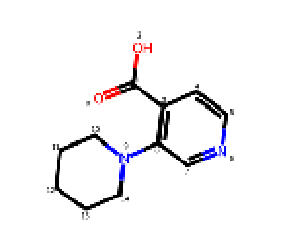 O=C(O)c1ccncc1N1CCCCC1